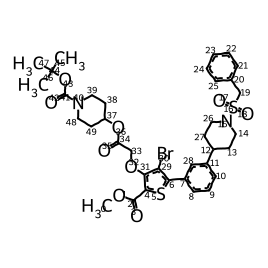 COC(=O)c1sc(-c2cccc(C3CCN(S(=O)(=O)Cc4ccccc4)CC3)c2)c(Br)c1OCC(=O)OC1CCN(C(=O)OC(C)(C)C)CC1